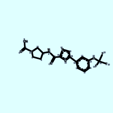 O=C(NC1CCN(C(=O)O)C1)c1ncc(-c2cccc(OC(F)(F)F)c2)o1